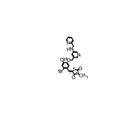 CN1C(=O)S/C(=C\c2cc(OCc3cncc(NCc4ccccn4)c3)c(O)cc2Br)C1=O